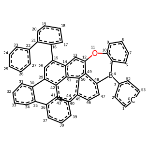 c1ccc(B2c3ccccc3Oc3cc4c(-c5ccccc5-c5ccccc5)cc(-c5ccccc5-c5ccccc5)c5ccc6ccc2c3c6c54)cc1